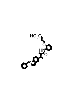 C/C(C(=O)Nc1ccccc1OCCCC(=O)O)=C(/C)c1ccc2c(ccn2Cc2ccccc2)c1